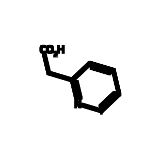 O=C(O)Cc1ccc[c]n1